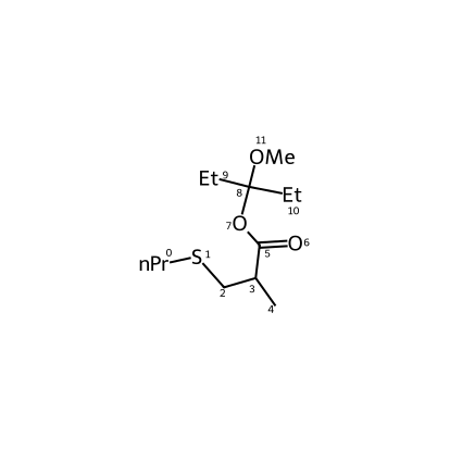 [CH2]CCSCC(C)C(=O)OC(CC)(CC)OC